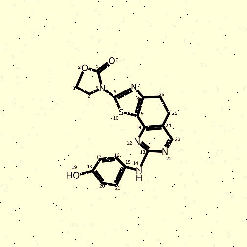 O=C1OCCN1c1nc2c(s1)-c1nc(Nc3ccc(O)cc3)ncc1CC2